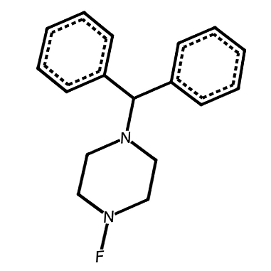 FN1CCN(C(c2ccccc2)c2ccccc2)CC1